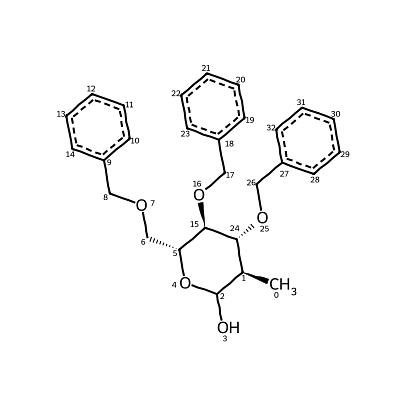 C[C@H]1C(O)O[C@H](COCc2ccccc2)[C@@H](OCc2ccccc2)[C@@H]1OCc1ccccc1